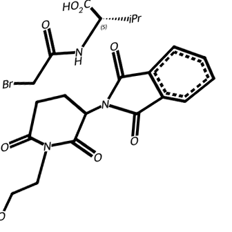 CC(C)[C@H](NC(=O)CBr)C(=O)O.O=C1CCC(N2C(=O)c3ccccc3C2=O)C(=O)N1CCO